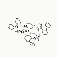 O=C(Nc1ccccc1-c1ccccc1)OC1CCN(Cc2ccccc2Oc2ccccc2CNC[C@@H](O)c2ccc(O)c3[nH]c(=O)ccc23)CC1